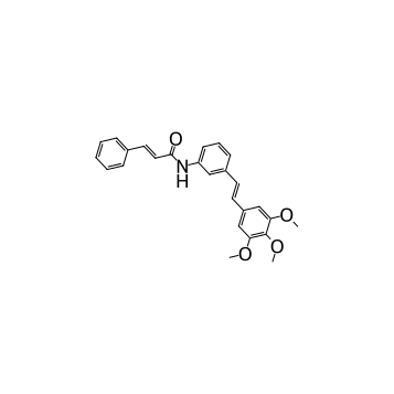 COc1cc(/C=C/c2cccc(NC(=O)/C=C/c3ccccc3)c2)cc(OC)c1OC